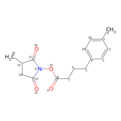 Cc1ccc(CCCC(=O)ON2C(=O)CC(C)C2=O)cc1